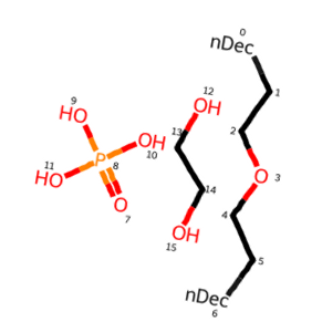 CCCCCCCCCCCCOCCCCCCCCCCCC.O=P(O)(O)O.OCCO